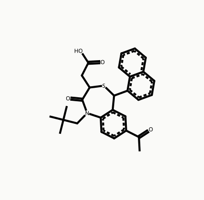 CC(=O)c1ccc2c(c1)C(c1cccc3ccccc13)SC(CC(=O)O)C(=O)N2CC(C)(C)C